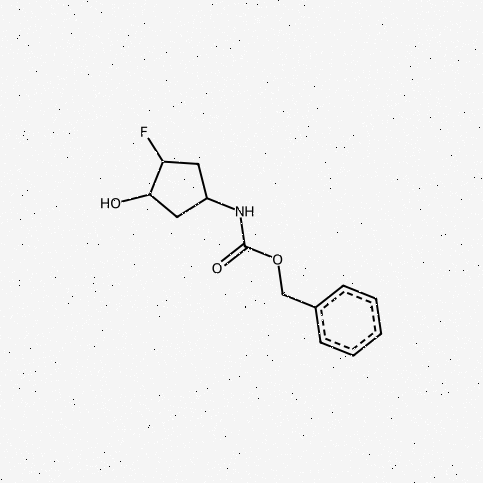 O=C(NC1CC(O)C(F)C1)OCc1ccccc1